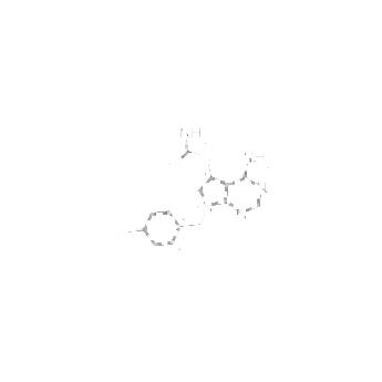 NC(=O)Sc1cn(Cc2ccc(F)cc2)c2ncnc(N)c12